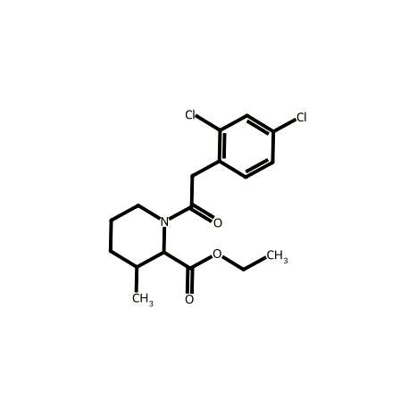 CCOC(=O)C1C(C)CCCN1C(=O)Cc1ccc(Cl)cc1Cl